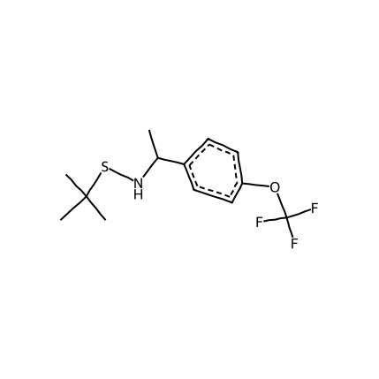 CC(NSC(C)(C)C)c1ccc(OC(F)(F)F)cc1